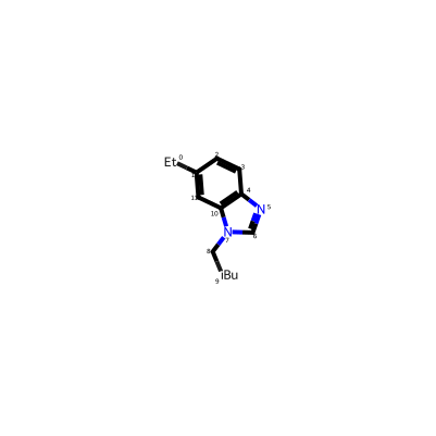 CCc1ccc2ncn(CC(C)CC)c2c1